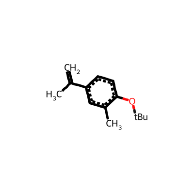 C=C(C)c1ccc(OC(C)(C)C)c(C)c1